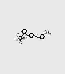 Cc1cccc(COc2ccc(Sc3ccccc3C3NC(=O)NC3=O)cc2)c1